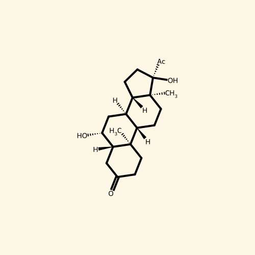 CC(=O)[C@@]1(O)CC[C@H]2[C@@H]3C[C@@H](O)[C@H]4CC(=O)CC[C@]4(C)[C@H]3CC[C@@]21C